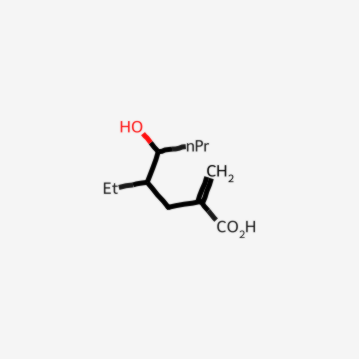 C=C(CC(CC)C(O)CCC)C(=O)O